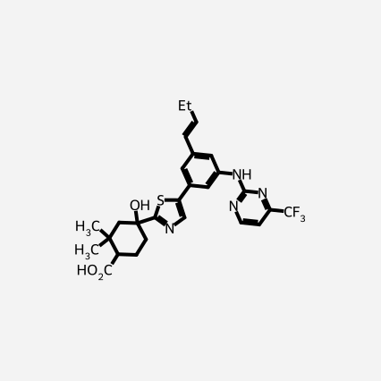 CCC=Cc1cc(Nc2nccc(C(F)(F)F)n2)cc(-c2cnc(C3(O)CCC(C(=O)O)C(C)(C)C3)s2)c1